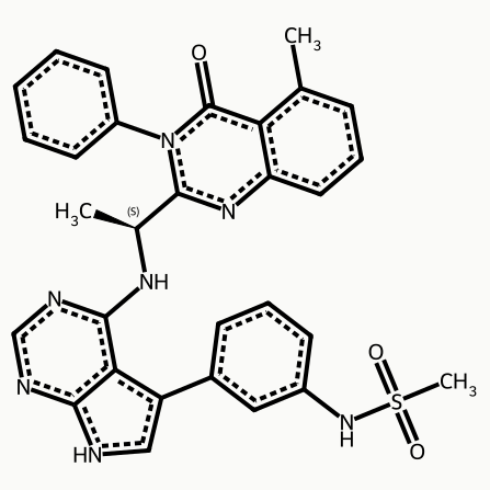 Cc1cccc2nc([C@H](C)Nc3ncnc4[nH]cc(-c5cccc(NS(C)(=O)=O)c5)c34)n(-c3ccccc3)c(=O)c12